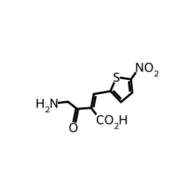 NCC(=O)/C(=C/c1ccc([N+](=O)[O-])s1)C(=O)O